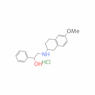 COc1ccc2c(c1)CCC(NCC(O)c1ccccc1)C2.Cl